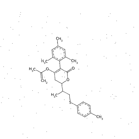 C=C(C)OC1=C(c2c(C)cc(C)cc2C)C(=O)OC(C(C)CSc2ccc(C)cc2)C1